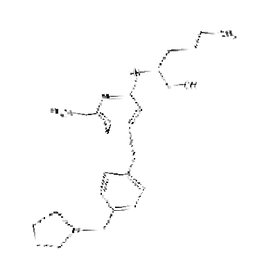 CCCCC(CO)Nc1cc(Cc2ccc(CN3CCCC3)cc2)nc(N)n1